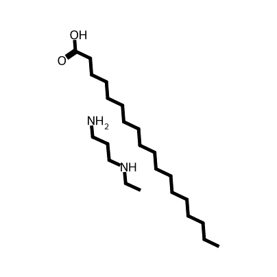 CCCCCCCCCCCCCCCCCC(=O)O.CCNCCCN